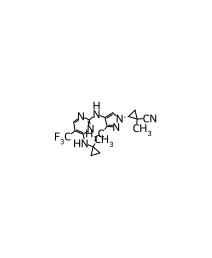 Cc1nn([C@@H]2CC2(C)C#N)cc1Nc1ncc(C(F)(F)F)c(NC2(C)CC2)n1